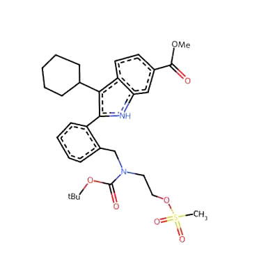 COC(=O)c1ccc2c(C3CCCCC3)c(-c3ccccc3CN(CCOS(C)(=O)=O)C(=O)OC(C)(C)C)[nH]c2c1